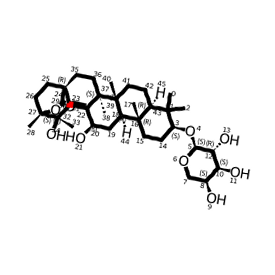 CC1(C)[C@@H](O[C@@H]2OC[C@H](O)[C@H](O)[C@H]2O)CC[C@]2(C)[C@H]3C[C@@H](O)C4=C5[C@]6(CC[C@](C)(OC6=O)[C@@]5(C)O)CC[C@@]4(C)[C@]3(C)CC[C@@H]12